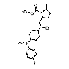 CCCCOC(=O)N1C(C)CCC1CC(CC)N1CCC(N(C(C)=O)c2ccc(F)cc2)CC1